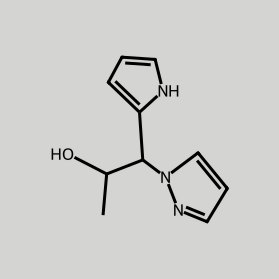 CC(O)C(c1ccc[nH]1)n1cccn1